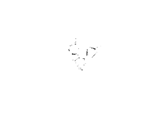 CN1Cc2sc3c(c2C(c2ccc(Br)cc2)C1)CCCC3.Cl